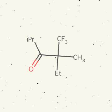 CCC(C)(C(=O)C(C)C)C(F)(F)F